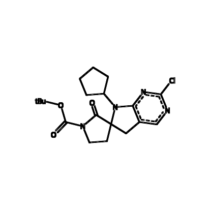 CC(C)(C)OC(=O)N1CCC2(Cc3cnc(Cl)nc3N2C2CCCC2)C1=O